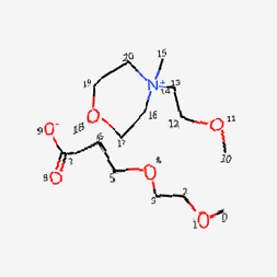 COCCOCCC(=O)[O-].COCC[N+]1(C)CCOCC1